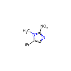 CC(C)c1cnc([N+](=O)[O-])n1C